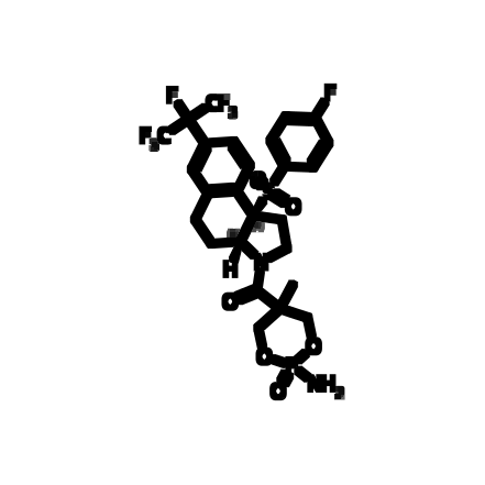 CC1(C(=O)N2CC[C@@]3(S(=O)(=O)c4ccc(F)cc4)c4ccc(C(F)(C(F)(F)F)C(F)(F)F)cc4CC[C@@H]23)COP(N)(=O)OC1